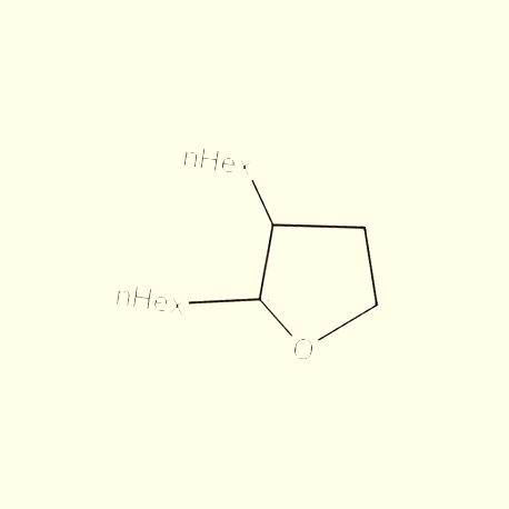 CCCCCC[C]1OCCC1CCCCCC